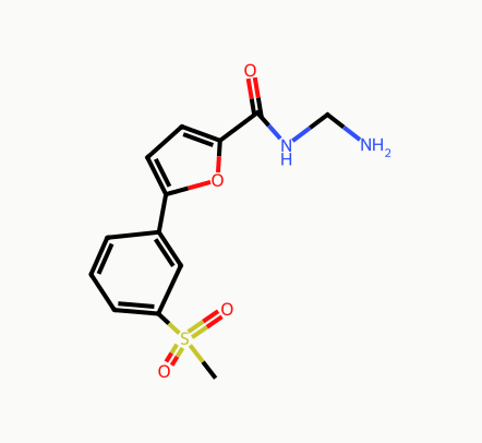 CS(=O)(=O)c1cccc(-c2ccc(C(=O)NCN)o2)c1